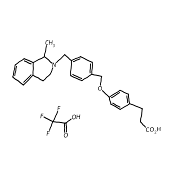 CC1c2ccccc2CCN1Cc1ccc(COc2ccc(CCC(=O)O)cc2)cc1.O=C(O)C(F)(F)F